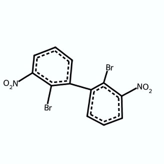 O=[N+]([O-])c1cccc(-c2cccc([N+](=O)[O-])c2Br)c1Br